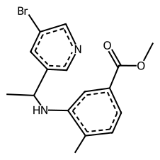 COC(=O)c1ccc(C)c(NC(C)c2cncc(Br)c2)c1